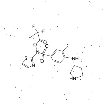 O=C(ON(c1nccs1)S(=O)(=O)c1ccc(NC2CCNC2)c(Cl)c1)C(F)(F)F